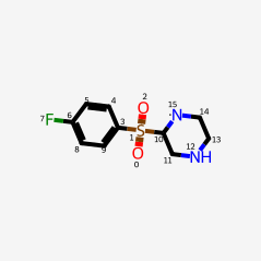 O=S(=O)(c1ccc(F)cc1)C1CNCC[N]1